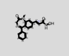 CN1C(=O)CN=C(c2ccccc2)c2ccc(/C=C/C(=O)NO)cc21